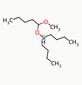 CCCCC(OC)O[SiH](CCCC)CCCC